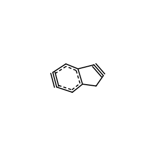 C1#Cc2cc#ccc2C1